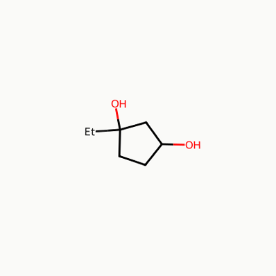 [CH2]CC1(O)CCC(O)C1